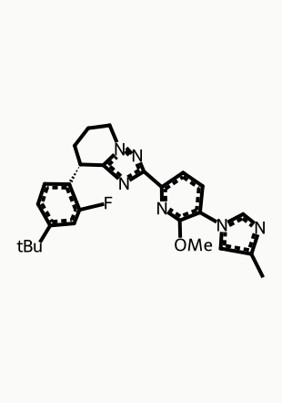 COc1nc(-c2nc3n(n2)CCC[C@H]3c2ccc(C(C)(C)C)cc2F)ccc1-n1cnc(C)c1